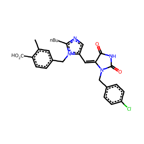 CCCCc1ncc(C=C2C(=O)NC(=O)N2Cc2ccc(Cl)cc2)n1Cc1ccc(C(=O)O)c(C)c1